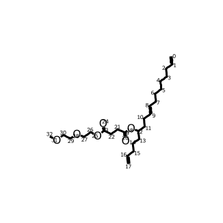 C=CCCCCCCC=CCCC(CCCC=C)OC(=O)CCC(=O)OCCOCCOC